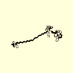 C=C(C)OC(=O)CCCCCCCCCCCCCCCCCCC(=O)N[C@@H](CCC(=O)ON1C(=O)CCC1=O)C(=O)OC(C)(C)C